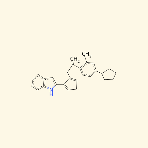 C=C(CC1=CCC=C1c1cc2ccccc2[nH]1)c1ccc(C2CCCC2)cc1C